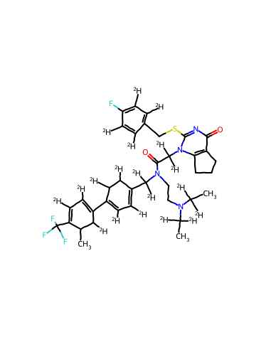 [2H]C1=C(C2=C([2H])C([2H])=C(C(F)(F)F)C(C)C2[2H])C([2H])C([2H])C(C([2H])([2H])N(CCN(C([2H])([2H])C)C([2H])([2H])C)C(=O)C([2H])([2H])n2c(SCc3c([2H])c([2H])c(F)c([2H])c3[2H])nc(=O)c3c2CCC3)=C1[2H]